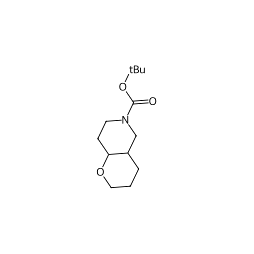 CC(C)(C)OC(=O)N1CCC2OCCCC2C1